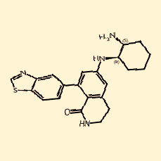 N[C@H]1CCCC[C@H]1Nc1cc2c(c(-c3ccc4scnc4c3)c1)C(=O)NCC2